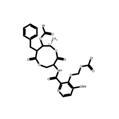 CCC(=O)OCOc1c(OC)ccnc1C(=O)NC1COC(=O)C(Cc2ccccc2)C(OC(=O)C(C)C)[C@H](C)OC1=O